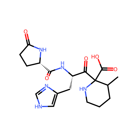 CC1CCCNC1(C(=O)O)C(=O)[C@H](Cc1c[nH]cn1)NC(=O)[C@@H]1CCC(=O)N1